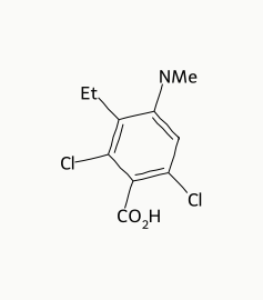 CCc1c(NC)cc(Cl)c(C(=O)O)c1Cl